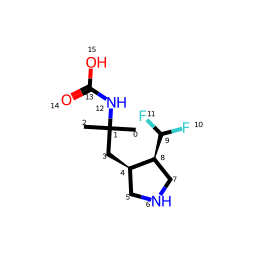 CC(C)(C[C@@H]1CNC[C@@H]1C(F)F)NC(=O)O